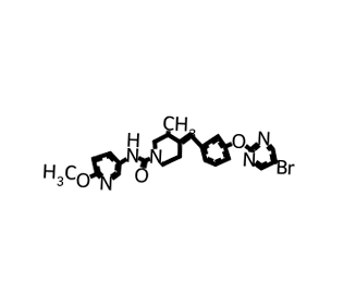 COc1ccc(NC(=O)N2CC/C(=C\c3cccc(Oc4ncc(Br)cn4)c3)C(C)C2)cn1